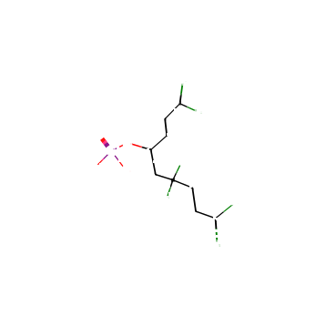 O=P(O)(O)OC(CCC(Br)Br)CC(Cl)(Cl)CCC(Br)Br